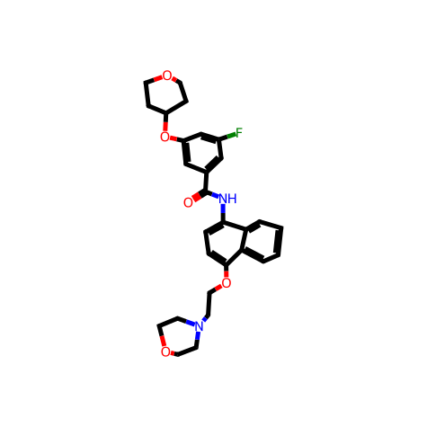 O=C(Nc1ccc(OCCN2CCOCC2)c2ccccc12)c1cc(F)cc(OC2CCOCC2)c1